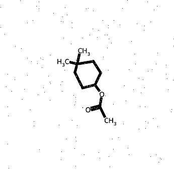 CC(=O)OC1CCC(C)(C)CC1